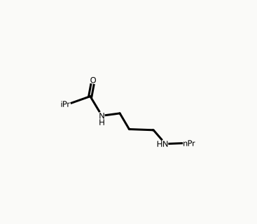 CCCNCCCNC(=O)C(C)C